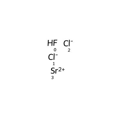 F.[Cl-].[Cl-].[Sr+2]